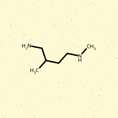 CNCCC(C)CN